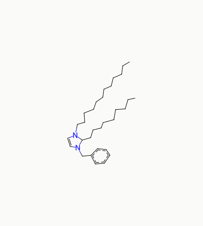 CCCCCCCCCCCCN1C=CN(Cc2ccccc2)C1CCCCCCCCC